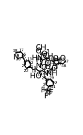 COC(=O)NC(C(=O)NC(Cc1ccc(-c2cccnc2)cc1)C(O)CN(Cc1cccc(C(F)(F)F)c1)NC(=O)OC1COC2OCCC12)C(C)(C)C